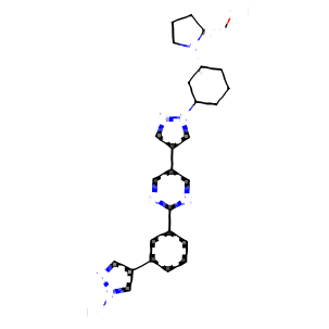 Cn1cc(-c2cccc(-c3ncc(-c4cnn(C5CCC[C@@H](N6CCC[C@@H]6CO)C5)c4)cn3)c2)cn1